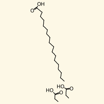 CCC(=O)O.CCC(=O)O.CCCCCCCCCCCCCCCCCC(=O)O